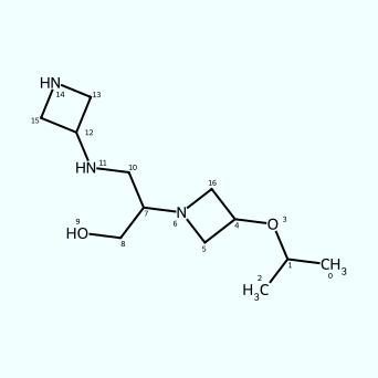 CC(C)OC1CN(C(CO)CNC2CNC2)C1